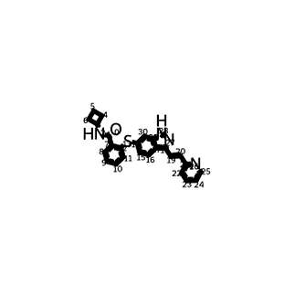 O=C(NC1CCC1)c1ccccc1Sc1ccc2c(/C=C/c3ccccn3)n[nH]c2c1